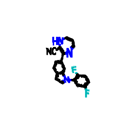 N#CC1=C(c2ccc3ccn(-c4cc(F)ccc4F)c3c2)N=CC=CN1